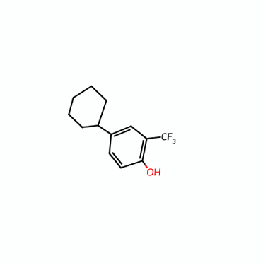 Oc1ccc(C2CCCCC2)cc1C(F)(F)F